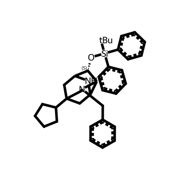 CC(C)(C)[Si](O[C@H]1C2CC3(C4CCCC4)CC(N2)C1N(Cc1ccccc1)C3)(c1ccccc1)c1ccccc1